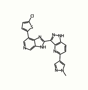 Cn1cc(-c2ccc3[nH]nc(-c4nc5c(-c6ccc(Cl)s6)cncc5[nH]4)c3n2)cn1